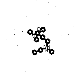 c1ccc(-c2ccc(-c3nc(-c4ccccc4)nc(-c4cccc(-c5ccc(-c6c7c(cc8c(-c9ccccc9)nc9ccccc9c68)oc6ccccc67)cc5)c4)n3)cc2)cc1